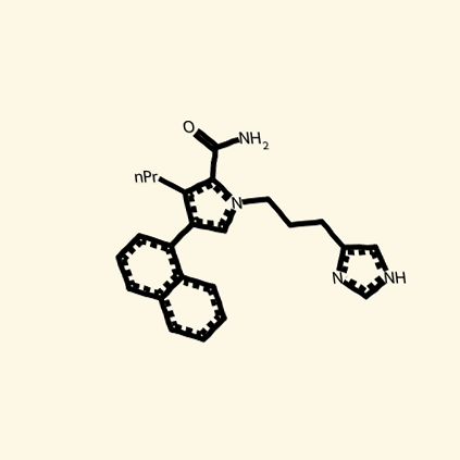 CCCc1c(-c2cccc3ccccc23)cn(CCCc2c[nH]cn2)c1C(N)=O